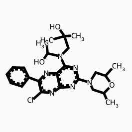 CC1CN(c2nc(N(CC(C)(C)O)C(C)O)c3nc(-c4ccccc4)c(Cl)nc3n2)CC(C)O1